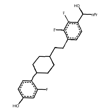 CCCC(O)c1ccc(CCC2CCC(c3ccc(O)cc3F)CC2)c(F)c1F